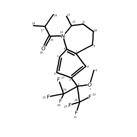 COC(c1ccc2c(c1)CCCC(C)N2C(=O)C(C)C)(C(F)(F)F)C(F)(F)F